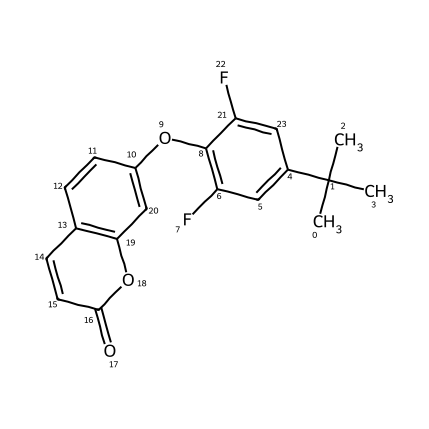 CC(C)(C)c1cc(F)c(Oc2ccc3ccc(=O)oc3c2)c(F)c1